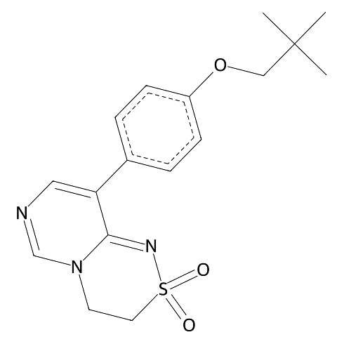 CC(C)(C)COc1ccc(C2=CN=CN3CCS(=O)(=O)N=C23)cc1